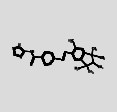 Cc1cc2c(cc1C=Cc1ccc(C(=O)Nc3nnn[nH]3)cc1)C(C)(C)C(C)C2(C)C